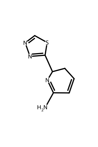 NC1=NC(c2nncs2)CC=C1